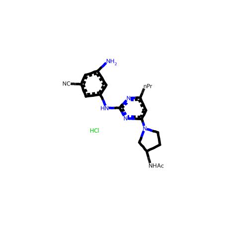 CCCc1cc(N2CCC(NC(C)=O)C2)nc(Nc2cc(N)cc(C#N)c2)n1.Cl